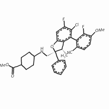 COC(=O)C1CCC(NC[C@]2(c3ccccc3)Oc3cc(F)c(Cl)c(-c4c(C#N)ccc(OC)c4F)c3[C@@H]2C)CC1